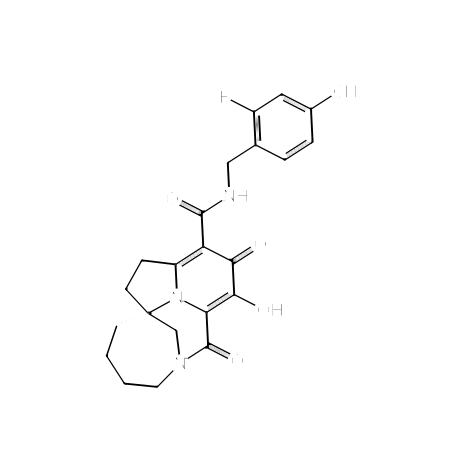 Cc1ccc(CNC(=O)c2c3n4c(c(O)c2=O)C(=O)N2CCCC[C@@]4(CC3)C2)c(F)c1